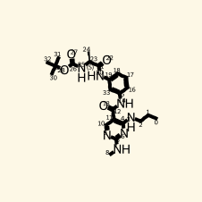 CCCNc1nc(NC)ncc1C(=O)Nc1cccc(NC(=O)[C@H](C)NC(=O)OC(C)(C)C)c1